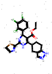 CCOC(=O)C1=C(C2CCc3[nH]ncc3C2)NC(c2nccs2)=NC1c1ccc(F)c(F)c1Cl